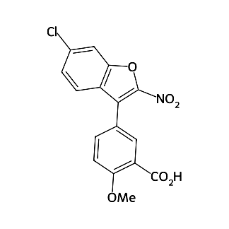 COc1ccc(-c2c([N+](=O)[O-])oc3cc(Cl)ccc23)cc1C(=O)O